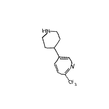 FC(F)(F)c1ccc(C2CCNCC2)cn1